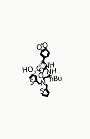 CCCC[C@@H](NC(=O)N[C@H](CC(=O)O)c1ccc2c(c1)OCO2)C(=O)N(Cc1cccs1)Cc1cccs1